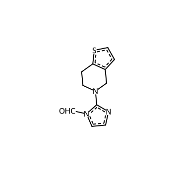 O=Cn1ccnc1N1CCc2sccc2C1